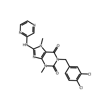 Cn1c(Nc2cnccn2)nc2c1c(=O)n(Cc1ccc(Cl)c(Cl)c1)c(=O)n2C